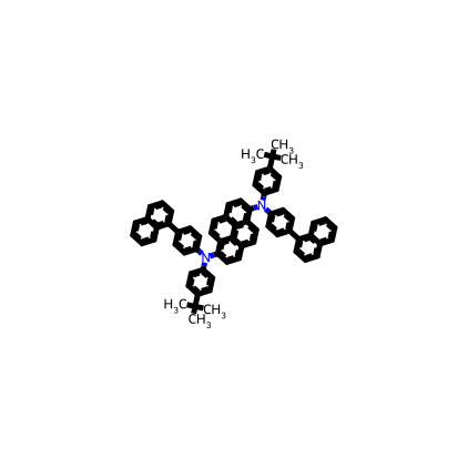 CC(C)(C)c1ccc(N(c2ccc(-c3cccc4ccccc34)cc2)c2ccc3ccc4c(N(c5ccc(-c6cccc7ccccc67)cc5)c5ccc(C(C)(C)C)cc5)ccc5ccc2c3c54)cc1